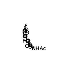 CC(=O)NC[C@H]1CN(c2ccc(-c3ccc(CN4C[C@H](CF)OC4=O)cc3)c(F)c2)C(=O)O1